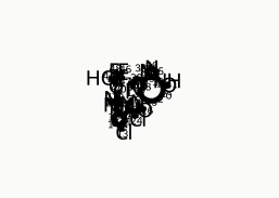 C[C@@H]1CCC[C@H](n2cnc(-c3cc(Cl)ccc3-n3cc(Cl)nn3)c(Cl)c2=O)c2cc(ccn2)-c2c(cnn2C)NC1=O.O=C(O)C(F)(F)F